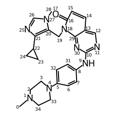 CN1CCN(c2ccc(Nc3ncc4ccc(=O)n(Cc5c(C6CC6)ncn5C)c4n3)cc2)CC1